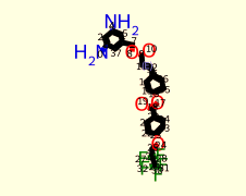 Nc1cc(N)cc(COC(=O)/C=C/c2ccc(OC(=O)c3ccc(OCC(F)(F)C(F)(F)F)cc3)cc2)c1